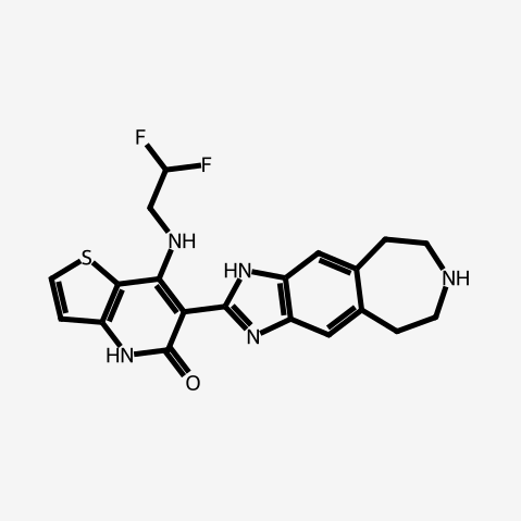 O=c1[nH]c2ccsc2c(NCC(F)F)c1-c1nc2cc3c(cc2[nH]1)CCNCC3